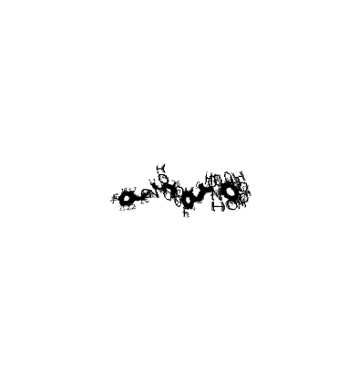 CC(=Cc1ccc(O[C@@H]2O[C@H](C(C)=NOCc3ccc(F)cc3)[C@@H](O)[C@]2(C)O)c(F)c1)C(=O)N[C@@H]1[C@H](O)[C@@H](O)[C@H]2OCO[C@H]2[C@@H]1O